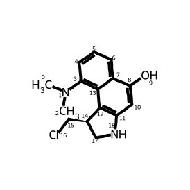 CN(C)c1cccc2c(O)cc3c(c12)[C@H](CCl)CN3